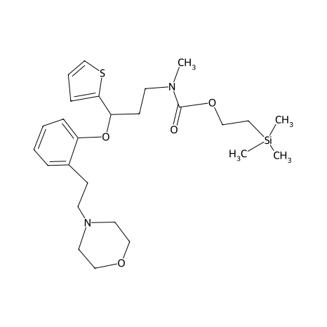 CN(CCC(Oc1ccccc1CCN1CCOCC1)c1cccs1)C(=O)OCC[Si](C)(C)C